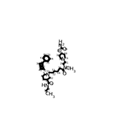 CCCNC(=O)C1CCCN(CCCCCC(=O)N(C)CCN2CCC(OC(N)=O)CC2)C1.c1ccc(-c2cc3ccc2-3)cc1